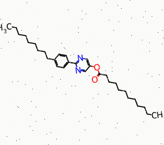 CCCCCCCCCCCC(=O)Oc1cnc(-c2ccc(CCCCCCCCC)cc2)nc1